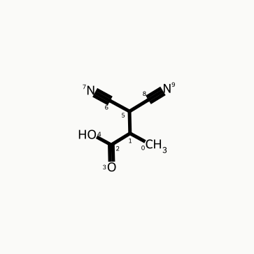 CC(C(=O)O)C(C#N)C#N